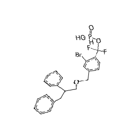 O=[PH](O)OC(F)(F)c1ccc(COCC(Cc2ccccc2)c2ccccc2)cc1Br